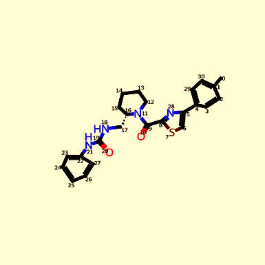 Cc1ccc(-c2csc(C(=O)N3CCCC[C@H]3CNC(=O)Nc3ccccc3)n2)cc1